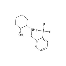 O[C@H]1CCCC[C@@H]1NCc1ncccc1C(F)(F)F